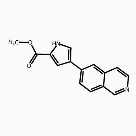 COC(=O)c1cc(-c2ccc3cnccc3c2)c[nH]1